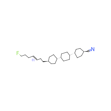 N#C[C@H]1CC[C@H](C2CCC([C@H]3CC[C@H](CC/C=C/CCCF)CC3)CC2)CC1